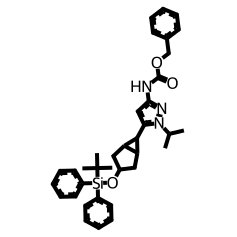 CC(C)n1nc(NC(=O)OCc2ccccc2)cc1C1C2CC(O[Si](c3ccccc3)(c3ccccc3)C(C)(C)C)CC21